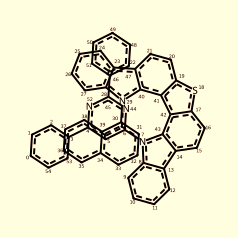 c1ccc(-c2cc(-n3c4ccccc4c4ccc5sc6ccc7c8ccccc8n(-c8cccc9ccccc89)c7c6c5c43)nc(-c3ccccc3)n2)cc1